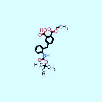 CCOC(=O)c1ccc(Cc2ccccc2NC(=O)OC(C)(C)C)cc1C(=O)O